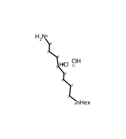 CCCCCCCCCCCCCCN.Cl.Cl